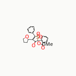 COC(=O)OC1(c2ccccc2)C(=O)C(C2CCCO2)=C(c2ccccc2)S1(=O)=O